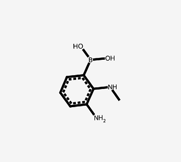 CNc1c(N)cccc1B(O)O